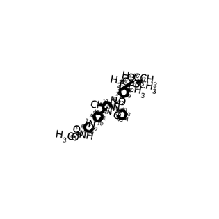 COC(=O)NC1CCN(c2ccc(-c3nc4c(cc3Cl)nc(O[C@H]3CC[C@](F)(C(C)(C)C(=O)OC(C)(C)C)CC3)n4C3CCCCO3)cc2)CC1